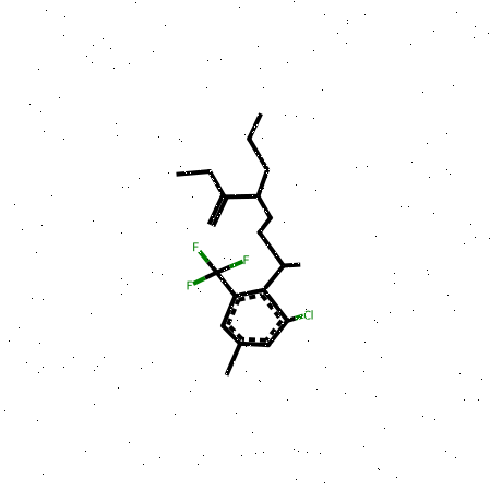 C=C(CC)C(CCC)CCC(C)c1c(Cl)cc(C)cc1C(F)(F)F